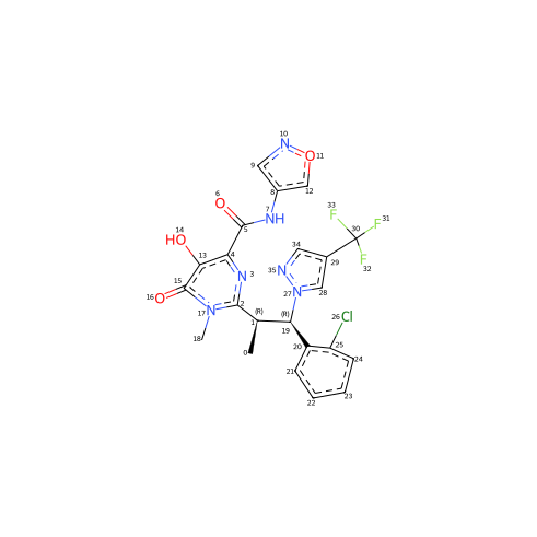 C[C@@H](c1nc(C(=O)Nc2cnoc2)c(O)c(=O)n1C)[C@H](c1ccccc1Cl)n1cc(C(F)(F)F)cn1